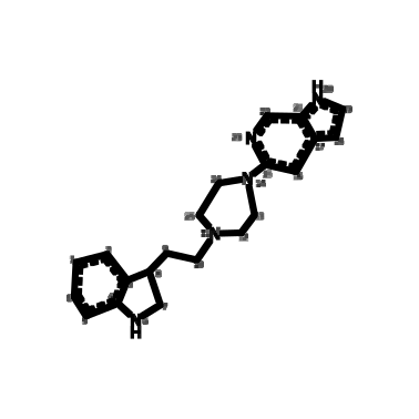 c1ccc2c(c1)NCC2CCN1CCN(c2cc3cc[nH]c3cn2)CC1